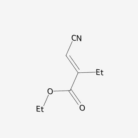 CCOC(=O)C(=CC#N)CC